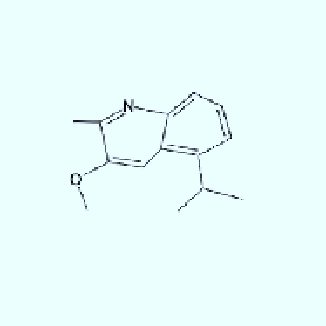 COc1cc2c(C(C)C)cccc2nc1C